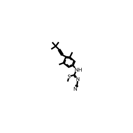 CS/C(=N\C#N)Nc1cc(C)c(C#CC(C)(C)C)c(C)c1